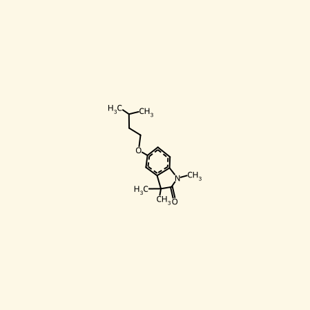 CC(C)CCOc1ccc2c(c1)C(C)(C)C(=O)N2C